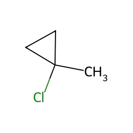 CC1(Cl)CC1